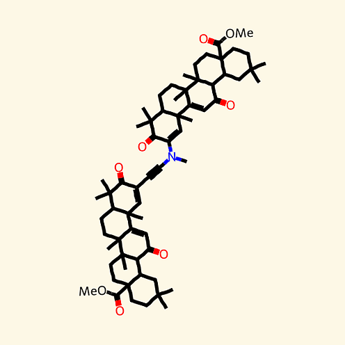 COC(=O)C12CCC(C)(C)CC1C1C(=O)C=C3C4(C)C=C(C#CN(C)C5=CC6(C)C7=CC(=O)C8C9CC(C)(C)CCC9(C(=O)OC)CCC8(C)C7(C)CCC6C(C)(C)C5=O)C(=O)C(C)(C)C4CCC3(C)C1(C)CC2